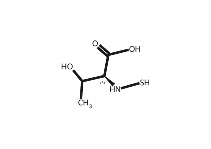 CC(O)[C@H](NS)C(=O)O